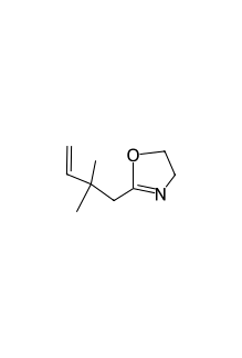 C=CC(C)(C)CC1=NCCO1